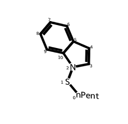 CCCCCSn1ccc2ccccc21